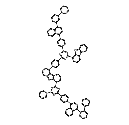 c1ccc(-c2cccc(-c3ccc(-c4ccc(-c5nc(-c6ccc(-c7cccc8oc9c(-c%10nc(-c%11ccccc%11)nc(-c%11ccc(-c%12ccc(-c%13ccccc%13-c%13ccccc%13)c%13ccccc%12%13)cc%11)n%10)cccc9c78)cc6)nc(-c6cccc7c6oc6ccccc67)n5)cc4)c4ccccc34)c2)cc1